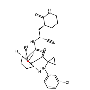 N#C[C@@H](C[C@@H]1CCCNC1=O)NC(=O)[C@@H]1[C@@H]2CC[C@@H](CC2(F)F)N1C(=O)C1(Nc2cccc(Cl)c2)CC1